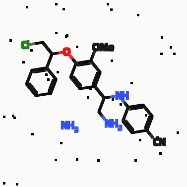 COc1cc(C(CN)Nc2ccc(C#N)cc2)ccc1OC(CCl)c1ccccc1.N